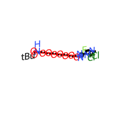 Cc1nc2cc(F)c(-c3cnc(OCCOCCOCCOCCOCCOCCOCCNC(=O)OC(C)(C)C)nc3)nc2c(Cl)c1Cl